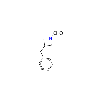 O=CN1CC(Cc2ccccc2)C1